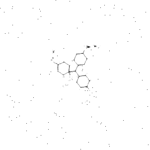 O=C=NC1CCC(C(C2CCC(N=C=O)CC2)C2(N=C=O)CCC(N=C=O)CC2)CC1